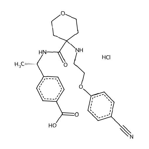 C[C@H](NC(=O)C1(NCCOc2ccc(C#N)cc2)CCOCC1)c1ccc(C(=O)O)cc1.Cl